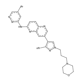 CCCc1nn(CCCN2CCOCC2)cc1-c1cnc2ccc(Nc3cc(C(C)C)cnn3)nc2c1